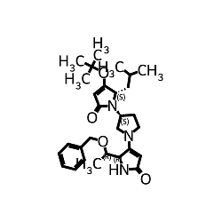 CC(C)C[C@H]1C(OC(C)(C)C)=CC(=O)N1[C@H]1CCN(C2=CC(=O)N[C@H]2[C@@H](C)OCc2ccccc2)C1